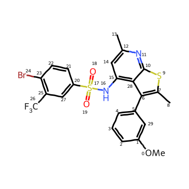 COc1cccc(-c2c(C)sc3nc(C)cc(NS(=O)(=O)c4ccc(Br)c(C(F)(F)F)c4)c23)c1